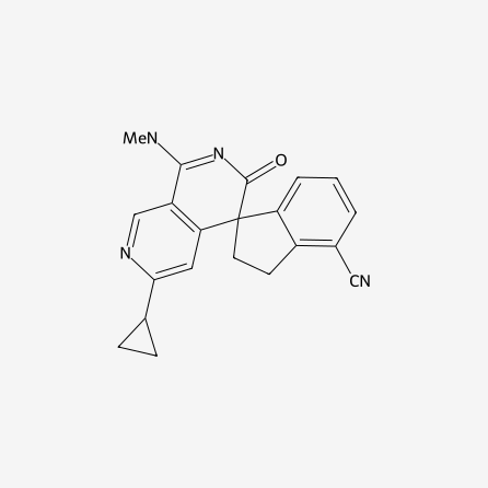 CNC1=NC(=O)C2(CCc3c(C#N)cccc32)c2cc(C3CC3)ncc21